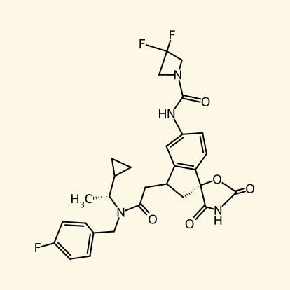 C[C@H](C1CC1)N(Cc1ccc(F)cc1)C(=O)CC1C[C@@]2(OC(=O)NC2=O)c2ccc(NC(=O)N3CC(F)(F)C3)cc21